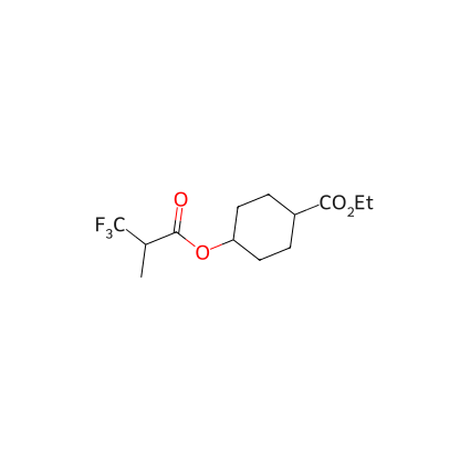 CCOC(=O)C1CCC(OC(=O)C(C)C(F)(F)F)CC1